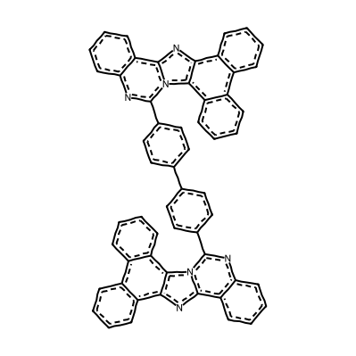 c1ccc2c(c1)nc(-c1ccc(-c3ccc(-c4nc5ccccc5c5nc6c7ccccc7c7ccccc7c6n45)cc3)cc1)n1c2nc2c3ccccc3c3ccccc3c21